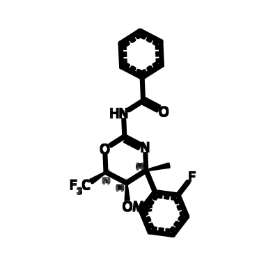 CO[C@H]1[C@@H](C(F)(F)F)OC(NC(=O)c2ccccc2)=N[C@]1(C)c1ccccc1F